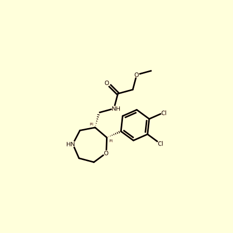 COCC(=O)NC[C@H]1CNCCO[C@H]1c1ccc(Cl)c(Cl)c1